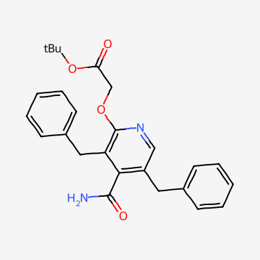 CC(C)(C)OC(=O)COc1ncc(Cc2ccccc2)c(C(N)=O)c1Cc1ccccc1